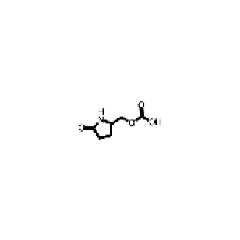 O=C1CCC(COC(=O)O)N1